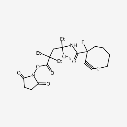 CCC(C)(CC(CC)(CC)C(=O)ON1C(=O)CCC1=O)NC(=O)C1(F)C#CCCCCC1